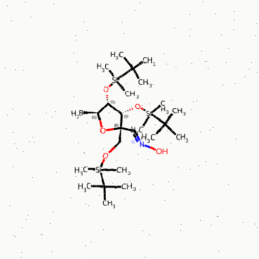 B[C@@H]1O[C@](/C=N/O)(CO[Si](C)(C)C(C)(C)C)[C@@H](O[Si](C)(C)C(C)(C)C)[C@H]1O[Si](C)(C)C(C)(C)C